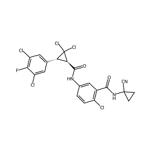 N#CC1(NC(=O)c2cc(NC(=O)[C@H]3[C@H](c4cc(Cl)c(F)c(Cl)c4)C3(Cl)Cl)ccc2Cl)CC1